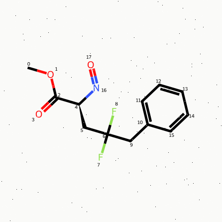 COC(=O)[C@H](CC(F)(F)Cc1ccccc1)N=O